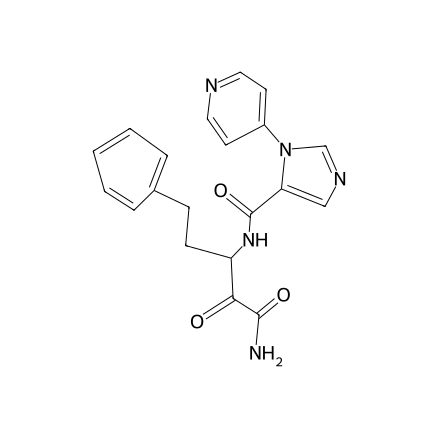 NC(=O)C(=O)C(CCc1ccccc1)NC(=O)c1cncn1-c1ccncc1